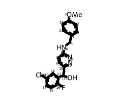 COc1ccc(CNc2ccc(C(O)c3cc(Cl)ccc3F)nn2)cc1